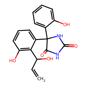 C=CC(O)c1c(O)cccc1C1(c2ccccc2O)NC(=O)NC1=O